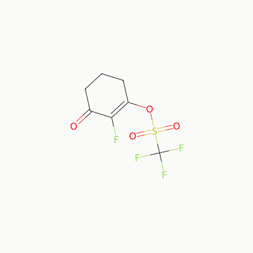 O=C1CCCC(OS(=O)(=O)C(F)(F)F)=C1F